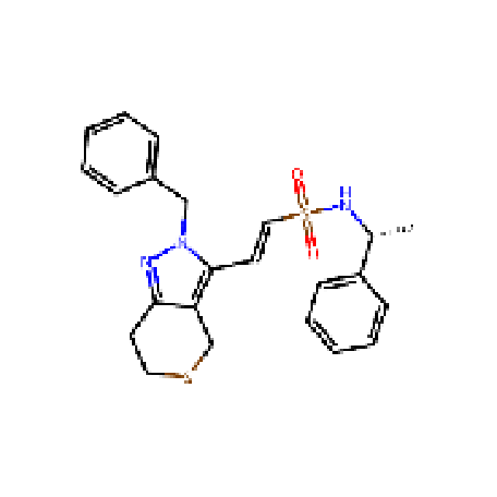 C[C@@H](NS(=O)(=O)/C=C/c1c2c(nn1Cc1ccccc1)CCSC2)c1ccccc1